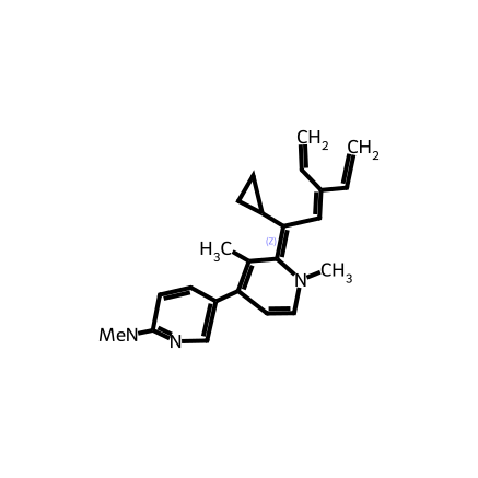 C=CC(C=C)=C/C(=C1/C(C)=C(c2ccc(NC)nc2)C=CN1C)C1CC1